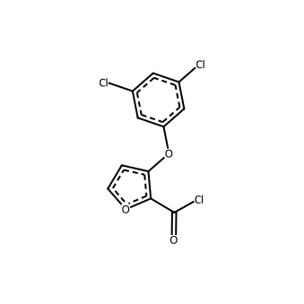 O=C(Cl)c1occc1Oc1cc(Cl)cc(Cl)c1